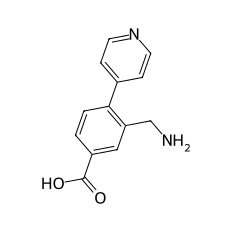 NCc1cc(C(=O)O)ccc1-c1ccncc1